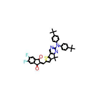 CC(C)(C)c1ccc(N(c2ccc(C(C)(C)C)cc2)c2ncc3c(n2)C(C)(C)c2cc(C=C4C(=O)c5cc(F)c(F)cc5C4=O)sc2-3)cc1